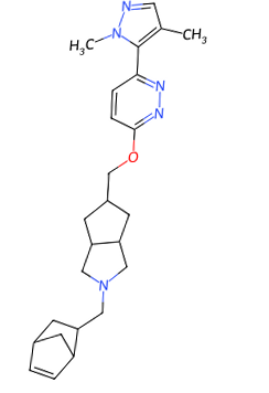 Cc1cnn(C)c1-c1ccc(OCC2CC3CN(CC4CC5C=CC4C5)CC3C2)nn1